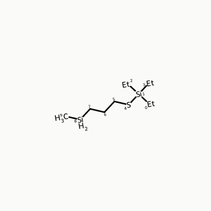 CC[Si](CC)(CC)SCCC[SiH2]C